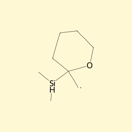 [CH2]C1([SiH](C)C)CCCCO1